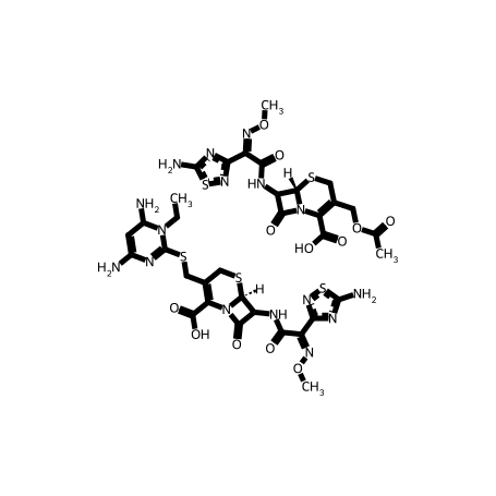 CCN1C(SCC2=C(C(=O)O)N3C(=O)C(NC(=O)/C(=N\OC)c4nsc(N)n4)[C@@H]3SC2)=NC(N)=CC1N.CO/N=C(\C(=O)NC1C(=O)N2C(C(=O)O)=C(COC(C)=O)CS[C@@H]12)c1nsc(N)n1